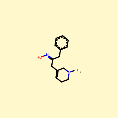 CN1CCC=C(C/C(Cc2ccccc2)=N\O)C1